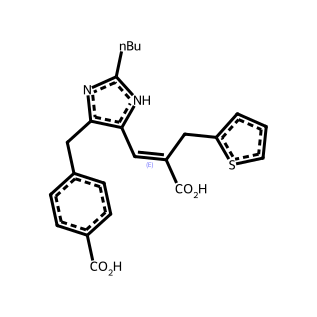 CCCCc1nc(Cc2ccc(C(=O)O)cc2)c(/C=C(\Cc2cccs2)C(=O)O)[nH]1